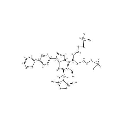 C=Cc1c([C@H]2C[C@@H]3CC[C@@H](C3)C2)nc2c(-c3ccc(-c4ccccc4)nc3)cnn2c1N(COCC[Si](C)(C)C)COCC[Si](C)(C)C